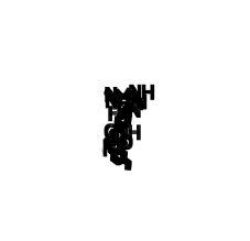 CCc1ccc2c(c1)c(=O)c(C(=O)Nc1ccc(Oc3ncnc4[nH]cc(-c5cnn(C)c5)c34)c(F)c1)c(C)n2C